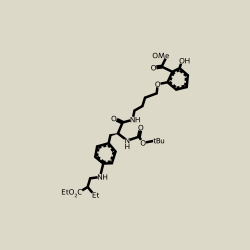 CCOC(=O)C(CC)CNc1ccc(C[C@H](NC(=O)OC(C)(C)C)C(=O)NCCCCOc2cccc(O)c2C(=O)OC)cc1